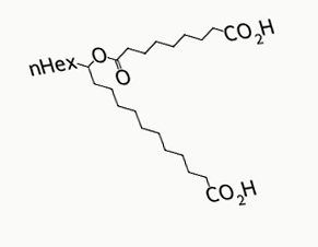 CCCCCCC(CCCCCCCCCCC(=O)O)OC(=O)CCCCCCCC(=O)O